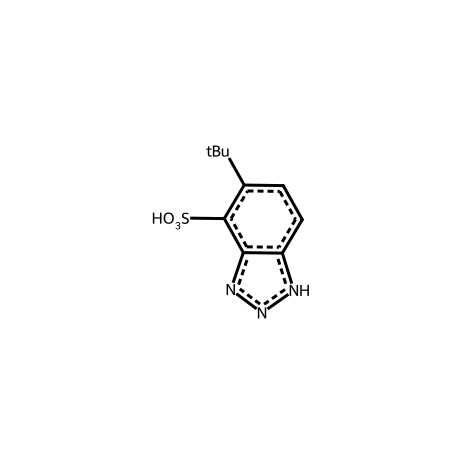 CC(C)(C)c1ccc2[nH]nnc2c1S(=O)(=O)O